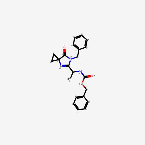 CC(C)C(NC(=O)OCc1ccccc1)C1=NC2(CC2)C(=O)N1Cc1ccccc1